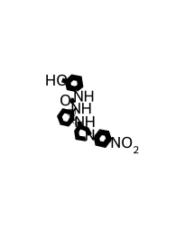 O=C(Nc1cccc(O)c1)N[C@@H]1CCCC[C@H]1NC1CCCN(c2ccc([N+](=O)[O-])cc2)C1